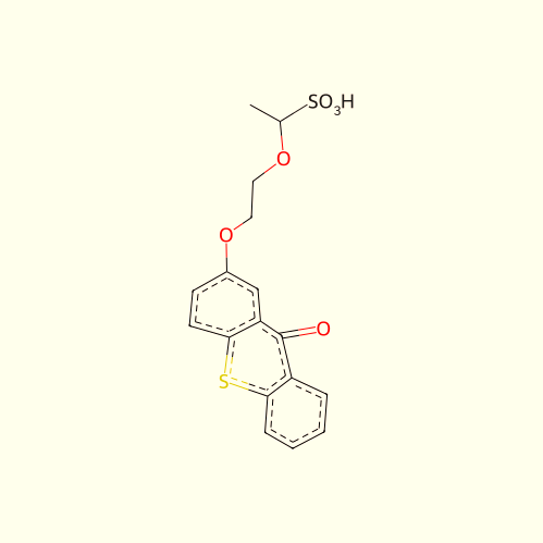 CC(OCCOc1ccc2sc3ccccc3c(=O)c2c1)S(=O)(=O)O